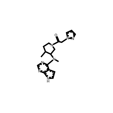 CC1CCN(C(=O)Cn2cccn2)CC1N(C)c1ncnc2[nH]ccc12